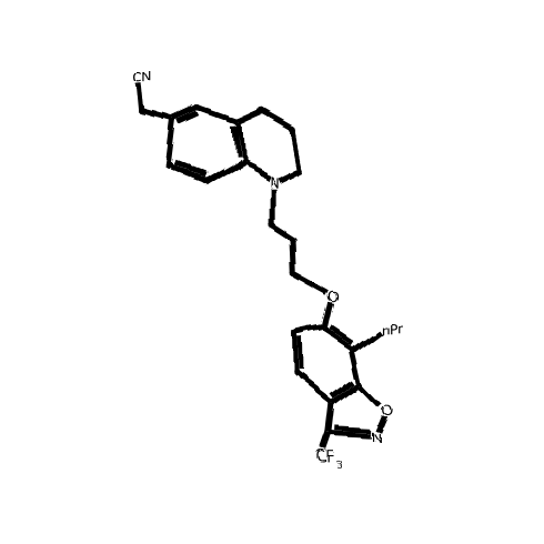 CCCc1c(OCCCN2CCCc3cc(CC#N)ccc32)ccc2c(C(F)(F)F)noc12